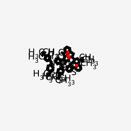 CC(C)(C)c1ccc(N2B3c4ccc5sc6ccccc6c5c4N(c4ccc(C(C)(C)C)cc4-c4ccccc4)c4cc5c(c(c43)-c3ccc(N(c4ccc(C(C)(C)C)cc4)c4ccc(C(C)(C)C)cc4)cc32)C(C)(C)c2ccccc2-5)cc1